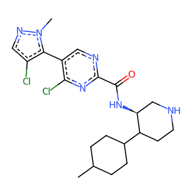 CC1CCC(C2CCNC[C@@H]2NC(=O)c2ncc(-c3c(Cl)cnn3C)c(Cl)n2)CC1